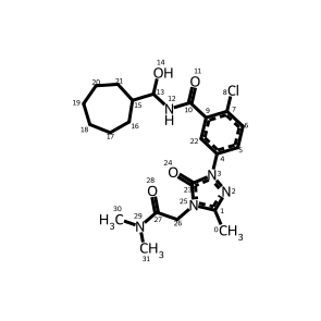 Cc1nn(-c2ccc(Cl)c(C(=O)NC(O)C3CCCCCC3)c2)c(=O)n1CC(=O)N(C)C